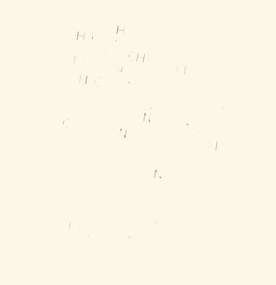 COc1ccc(C[n+]2ccc3c(c2)nc(CO[Si](C)(C)C(C)(C)C)n3Cc2cc(Cl)ccc2Cl)cc1.[Cl-]